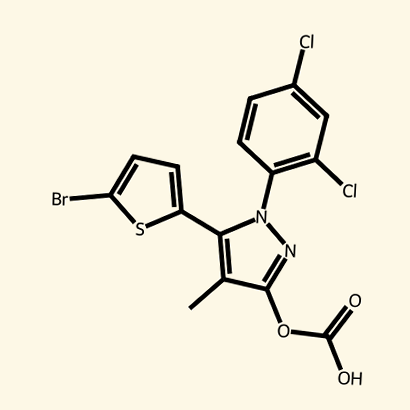 Cc1c(OC(=O)O)nn(-c2ccc(Cl)cc2Cl)c1-c1ccc(Br)s1